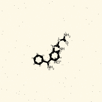 Cl.NC(=O)Oc1nc2cc(C(N)c3ccccc3)ccc2[nH]1